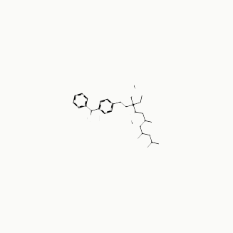 CCC(CCc1ccc(C(O)c2ccccc2)cc1)(COC)C(CC(C)CC(C)CC(C)C)OC